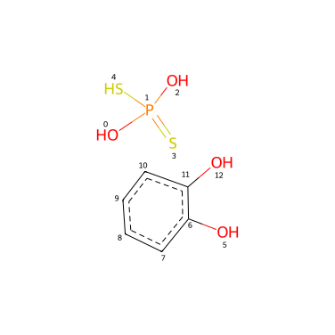 OP(O)(=S)S.Oc1ccccc1O